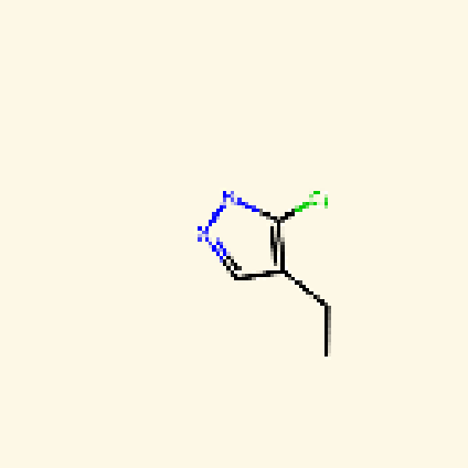 CCC1=C(Cl)[N]N=C1